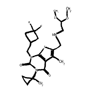 COC(CNCc1sc2c(c1C)c(=O)n(C1(C)CC1)c(=O)n2CC1CC(F)(F)C1)OC